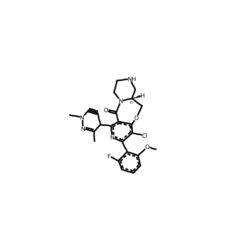 COc1cccc(F)c1-c1nc(C2C#CN(C)N=C2C)c2c(c1Cl)OC[C@H]1CNCCN1C2=O